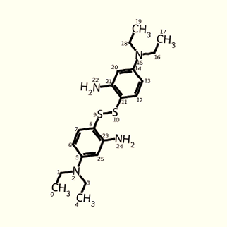 CCN(CC)c1ccc(SSc2ccc(N(CC)CC)cc2N)c(N)c1